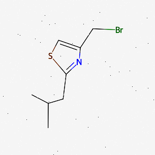 CC(C)Cc1nc(CBr)cs1